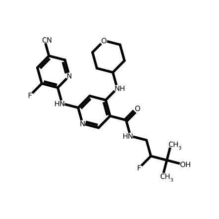 CC(C)(O)C(F)CNC(=O)c1cnc(Nc2ncc(C#N)cc2F)cc1NC1CCOCC1